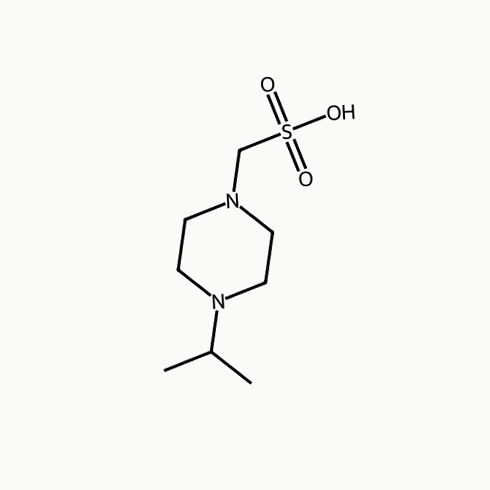 CC(C)N1CCN(CS(=O)(=O)O)CC1